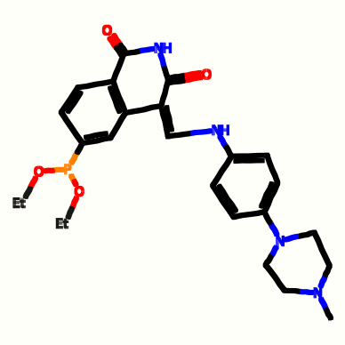 CCOP(OCC)c1ccc2c(c1)/C(=C/Nc1ccc(N3CCN(C)CC3)cc1)C(=O)NC2=O